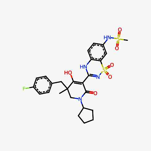 CC1(Cc2ccc(F)cc2)CN(C2CCCC2)C(=O)C(C2=NS(=O)(=O)c3cc(NS(C)(=O)=O)ccc3N2)=C1O